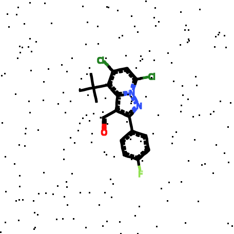 CC(C)(C)c1c(Cl)cc(Cl)n2nc(-c3ccc(F)cc3)c([C]=O)c12